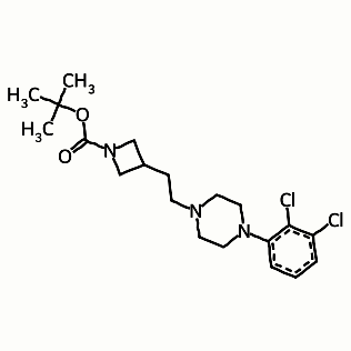 CC(C)(C)OC(=O)N1CC(CCN2CCN(c3cccc(Cl)c3Cl)CC2)C1